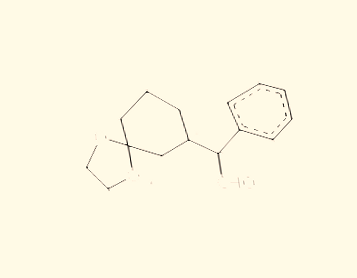 O=CC(c1ccccc1)C1CCCC2(C1)OCCO2